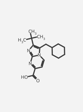 CC(C)(C)c1nc2nc(C(=O)O)ccn2c1CC1CCCCC1